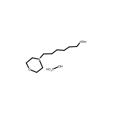 CCCCCCCCCCCCCCCCN1CCOCC1.O=S(=O)(O)O